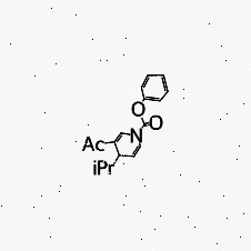 CC(=O)C1=CN(C(=O)Oc2ccccc2)C=CC1C(C)C